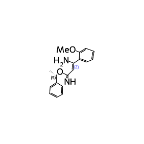 COc1ccccc1/C(N)=C/C(=N)O[C@@H](C)c1ccccc1